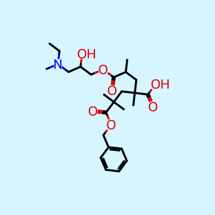 CCN(C)CC(O)COC(=O)C(C)CC(C)(CC(C)(C)C(=O)OCc1ccccc1)C(=O)O